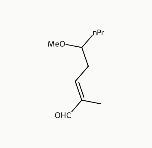 CCCC(CC=C(C)C=O)OC